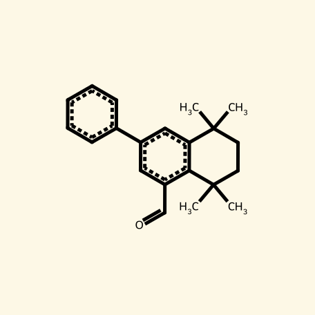 CC1(C)CCC(C)(C)c2c(C=O)cc(-c3ccccc3)cc21